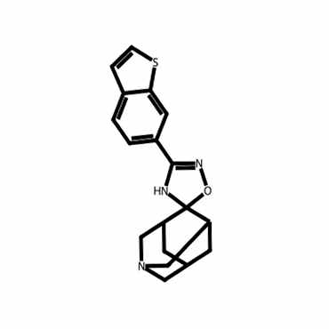 c1cc2ccc(C3=NOC4(N3)C3CC5CC4CN(C5)C3)cc2s1